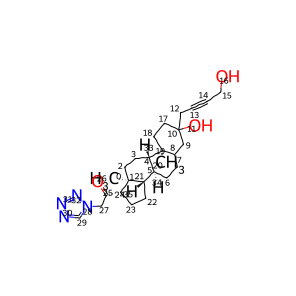 C[C@]12CC[C@H]3[C@@H](CCC4CC(O)(CC#CCO)CC[C@@]43C)[C@@H]1CC[C@@H]2C(=O)Cn1cnnn1